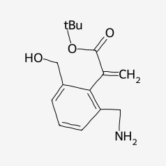 C=C(C(=O)OC(C)(C)C)c1c(CN)cccc1CO